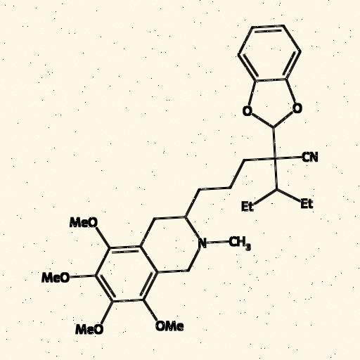 CCC(CC)C(C#N)(CCCC1Cc2c(c(OC)c(OC)c(OC)c2OC)CN1C)C1Oc2ccccc2O1